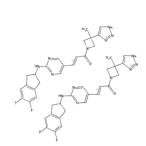 CC1(c2c[nH]nn2)CN(C(=O)/C=C/c2cnc(NC3Cc4cc(F)c(F)cc4C3)nc2)C1.CC1(c2c[nH]nn2)CN(C(=O)/C=C/c2cnc(NC3Cc4cc(F)c(F)cc4C3)nc2)C1